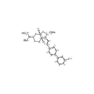 CO[C@H]1C[C@H]2CC(N(C(=O)O)C(C)(C)C)CC[C@H]2[C@@H]1C=Cc1ccc(-c2cccc(F)c2)cn1